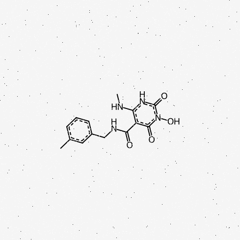 CNc1[nH]c(=O)n(O)c(=O)c1C(=O)NCc1cccc(C)c1